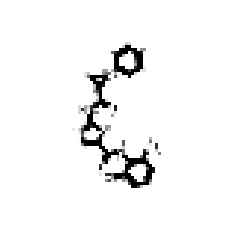 Cc1cccc(Cl)c1NC(=O)c1cnc(NC(=O)C2C[C@@H]2c2ccccc2)s1